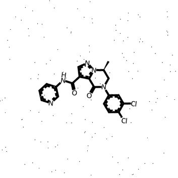 C[C@H]1CN(c2ccc(Cl)c(Cl)c2)C(=O)c2c(C(=O)Nc3cccnc3)cnn21